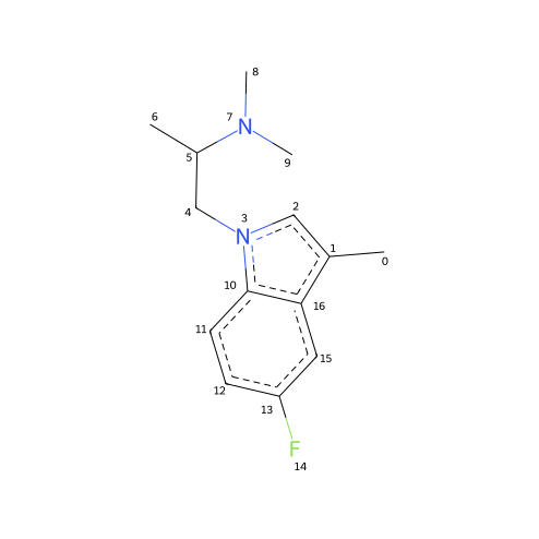 Cc1cn(CC(C)N(C)C)c2ccc(F)cc12